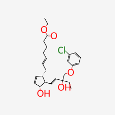 CCOC(=O)CCCC=CC[C@H]1C=C[C@@H](O)[C@@H]1C=CC(O)(CC)COc1cccc(Cl)c1